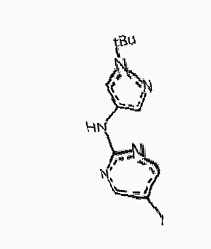 CC(C)(C)n1cc(Nc2ncc(I)cn2)cn1